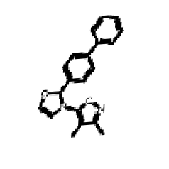 Cc1noc(N2C=COC2c2ccc(-c3ccccc3)cc2)c1C